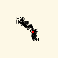 C=C(C)[C@@H]1CC[C@]2(C(=O)NCCc3cccc(C(=O)NCc4ccc(C(=O)N[C@@H](CCC(=O)O)C(=O)O)cc4)c3)CC[C@]3(C)C(CCC4[C@@]5(C)CC[C@H](O)C(C)(C)C5CC[C@]43C)C12